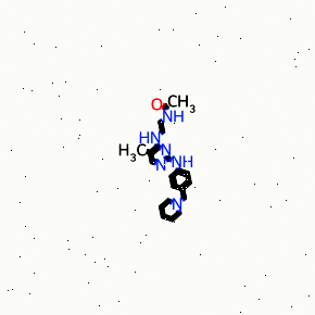 CC(=O)NCCNc1nc(Nc2ccc(CN3CCCCC3)cc2)ncc1C